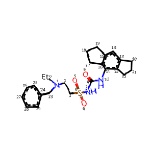 CCN(CCS(=O)(=O)NC(=O)Nc1c2c(cc3c1CCC3)CCC2)Cc1ccccc1